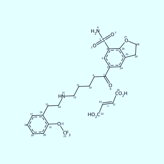 NS(=O)(=O)c1cc(C(=O)CCCCNCCc2ccccc2OC(F)(F)F)cc2c1OCC2.O=C(O)/C=C/C(=O)O